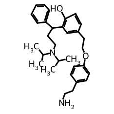 CC(C)N(CCC(c1ccccc1)c1cc(CCOc2ccc(CCN)cc2)ccc1O)C(C)C